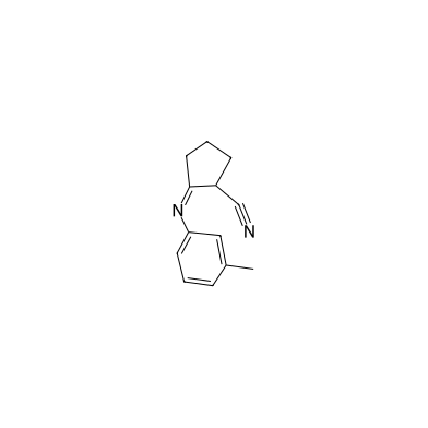 Cc1cccc(N=C2CCCC2C#N)c1